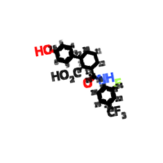 O=C(O)[C@@H]1[C@@H](c2ccc(O)cc2)CCC[C@H]1C(=O)Nc1ccc(C(F)(F)F)cc1F